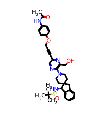 CC(=O)Nc1ccc(OCC#Cc2cnc(N3CCC4(CC3)Cc3ccccc3C4N[S+]([O-])C(C)(C)C)c(CO)n2)cc1